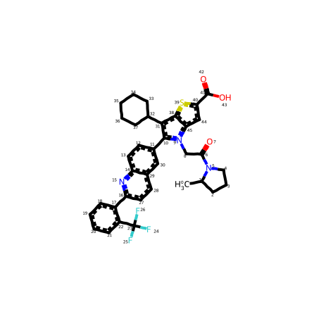 CC1CCCN1C(=O)Cn1c(-c2ccc3nc(-c4ccccc4C(F)(F)F)ccc3c2)c(C2CCCCC2)c2sc(C(=O)O)cc21